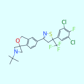 CC(C)(C)N1CC2(C1)OCc1cc(C3=NSC(c4cc(Cl)c(F)c(Cl)c4)(C(F)(F)F)C3)ccc12